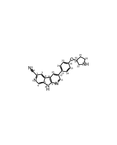 N#Cc1cc2c(cn1)[nH]c1ncc(-c3ccc(O[C@H]4CCNC4)cc3)cc12